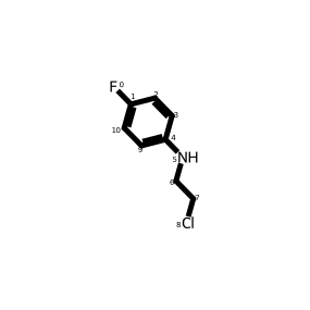 Fc1ccc(NCCCl)cc1